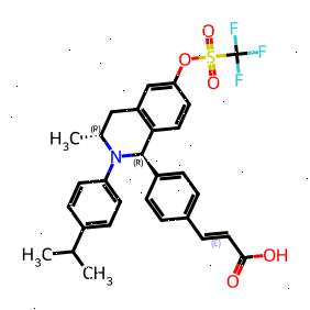 CC(C)c1ccc(N2[C@H](c3ccc(/C=C/C(=O)O)cc3)c3ccc(OS(=O)(=O)C(F)(F)F)cc3C[C@H]2C)cc1